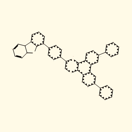 C1=CC2Oc3c(-c4ccc(-c5cnc6c7ccc(-c8ccccc8)cc7c7cc(-c8ccccc8)ccc7c6n5)cc4)cccc3C2C=C1